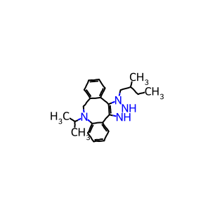 CCC(C)CN1NNC2=C1c1ccccc1CN(C(C)C)c1ccccc12